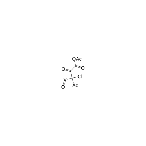 CC(=O)OC(=O)C(=O)[C](Cl)([V]=[O])C(C)=O